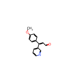 COc1ccc(/C(=C/C=O)c2cccnc2)cc1